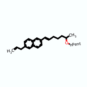 C=CCc1ccc2cc(C=CCCCC(C)OCCCCC)ccc2c1